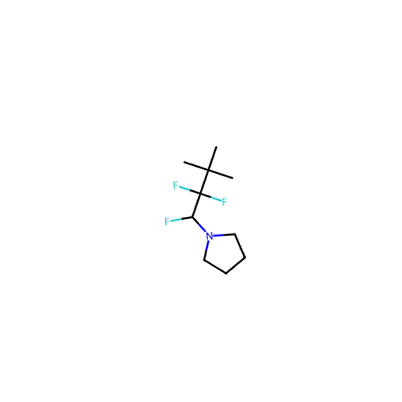 CC(C)(C)C(F)(F)C(F)N1CCCC1